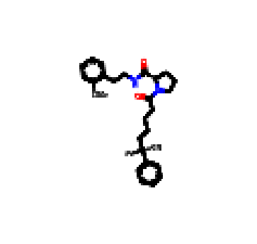 COc1ccccc1CCNC(=O)[C@H]1CCCN1C(=O)CCCC[C@@](C#N)(c1ccccc1)C(C)C